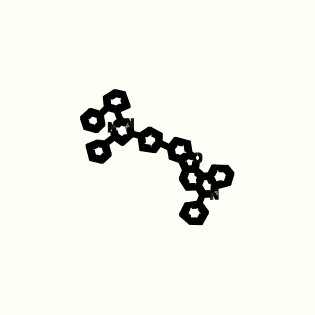 c1ccc(-c2cc(-c3ccc(-c4ccc5oc6c(ccc7c(-c8ccccc8)nc8ccccc8c76)c5c4)cc3)nc(-c3ccccc3-c3ccccc3)n2)cc1